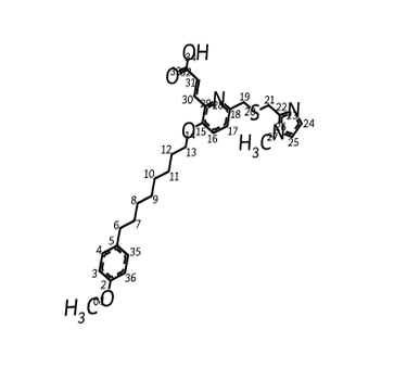 COc1ccc(CCCCCCCCOc2ccc(CSCc3nccn3C)nc2C=CC(=O)O)cc1